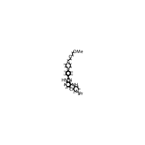 COCCOCCN1CCN(c2ccc(-c3nc4c(NC5CCN(C(C)C)CC5)c(Cl)cnc4[nH]3)cc2)CC1